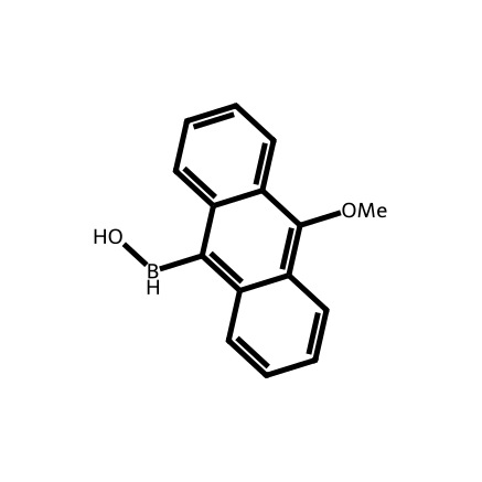 COc1c2ccccc2c(BO)c2ccccc12